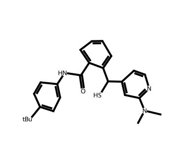 CN(C)c1cc(C(S)c2ccccc2C(=O)Nc2ccc(C(C)(C)C)cc2)ccn1